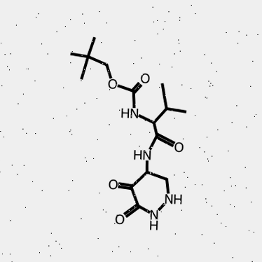 CC(C)C(NC(=O)OCC(C)(C)C)C(=O)NC1CNNC(=O)C1=O